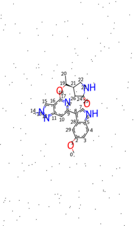 COc1ccc2[nH]cc(-c3cc4nn(C)cc4c(OC(C)[C@H]4CNC(=O)C4)n3)c2c1